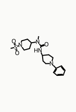 CN(C(=O)NC1CCN(c2ccccc2)CC1)C1CCN(S(C)(=O)=O)CC1